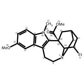 CCC1CC2CN3CCc4c(n(C)c5ccc(OC)cc45)[C@](C(=O)OC)(C2)C13